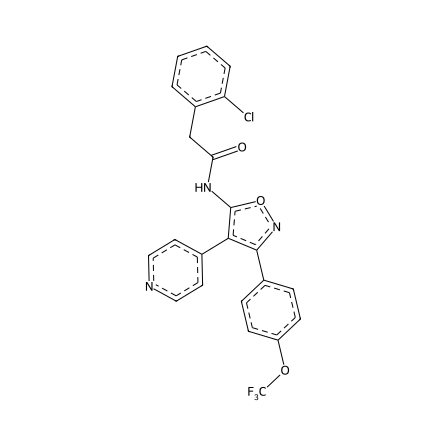 O=C(Cc1ccccc1Cl)Nc1onc(-c2ccc(OC(F)(F)F)cc2)c1-c1ccncc1